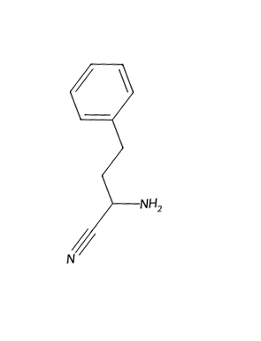 N#CC(N)CCc1ccccc1